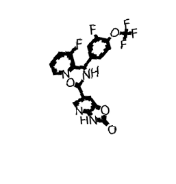 O=C(NC(c1ccc(OC(F)(F)F)c(F)c1)c1ncccc1F)c1cnc2[nH]c(=O)oc2c1